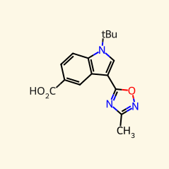 Cc1noc(-c2cn(C(C)(C)C)c3ccc(C(=O)O)cc23)n1